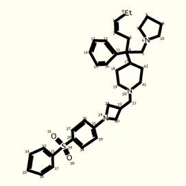 CC/C=C\CC(CN1CCCC1)(c1ccccc1)C1CCN(CC2CN(c3ccc(S(=O)(=O)c4ccccc4)cc3)C2)CC1